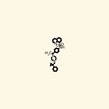 C=C(c1ccc(NS(=O)(=O)c2cccc3cccnc23)cc1)N1CCN(CC2(c3ccccc3)CC2)CC1